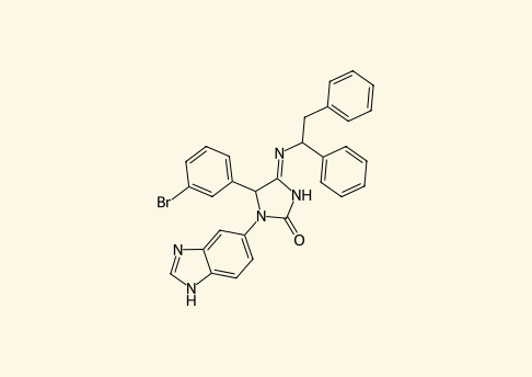 O=C1NC(=NC(Cc2ccccc2)c2ccccc2)C(c2cccc(Br)c2)N1c1ccc2[nH]cnc2c1